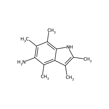 Cc1[nH]c2c(C)c(C)c(N)c(C)c2c1C